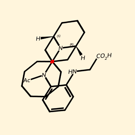 CC(=O)N(c1ccccc1NCC(=O)O)C1C[C@H]2CCC[C@@H](C1)N2C1CCCCCCC1